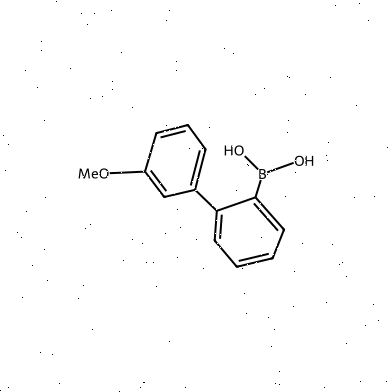 COc1cccc(-c2ccccc2B(O)O)c1